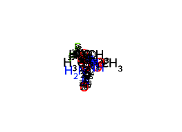 CCOC(=O)n1nc2c(c1NC(=O)c1ccc(N3CCOCC3)cc1N)C(CC)N(S(=O)(=O)c1cc(F)cc(F)c1)C2(C)C